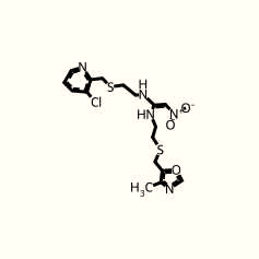 Cc1ncoc1CSCCN/C(=C\[N+](=O)[O-])NCCSCc1ncccc1Cl